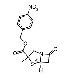 CC1(C(=O)OCc2ccc([N+](=O)[O-])cc2)CN2C(=O)C[C@H]2S1